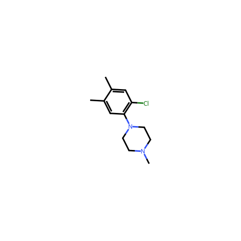 Cc1cc(Cl)c(N2CCN(C)CC2)cc1C